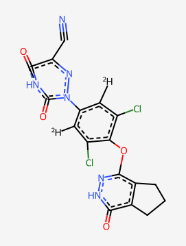 [2H]c1c(Cl)c(Oc2n[nH]c(=O)c3c2CCC3)c(Cl)c([2H])c1-n1nc(C#N)c(=O)[nH]c1=O